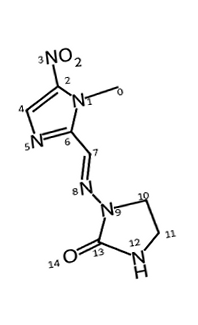 Cn1c([N+](=O)[O-])cnc1C=NN1CCNC1=O